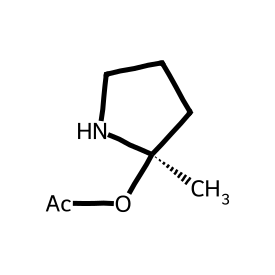 CC(=O)O[C@]1(C)CCCN1